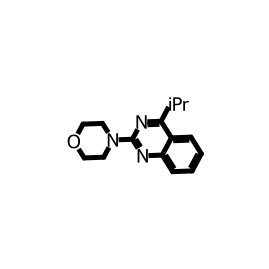 CC(C)c1nc(N2CCOCC2)nc2ccccc12